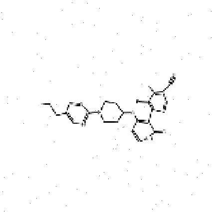 CCCc1cnc(N2CCC(Oc3cc[nH]c(=O)c3-c3ccc(C#N)c(F)c3F)CC2)nc1